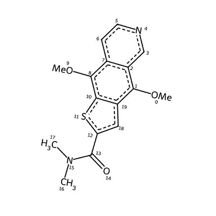 COc1c2cnccc2c(OC)c2sc(C(=O)N(C)C)cc12